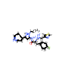 CCn1nc(-c2ccncc2)cc1NC(=O)[C@H](Cc1ccc(F)cc1)NCc1cscn1